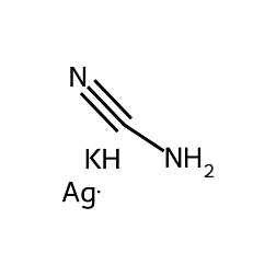 N#CN.[Ag].[KH]